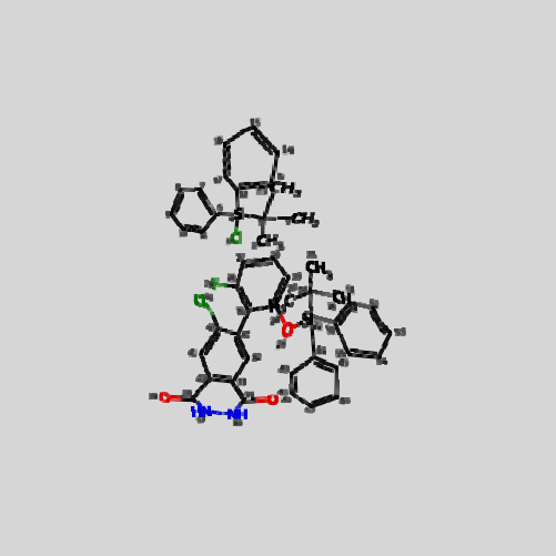 CC(C)(C)[Si](Cl)(c1ccccc1)c1ccccc1.CC(C)(C)[Si](Oc1cccc(F)c1-c1cc2c(=O)[nH][nH]c(=O)c2cc1Cl)(c1ccccc1)c1ccccc1